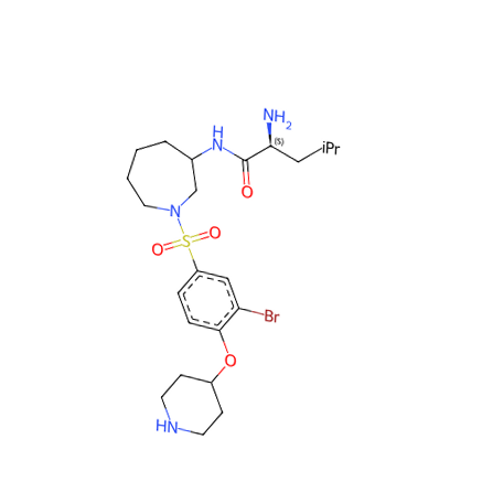 CC(C)C[C@H](N)C(=O)NC1CCCCN(S(=O)(=O)c2ccc(OC3CCNCC3)c(Br)c2)C1